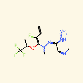 C=C/C(F)=C(/O[C@H](C)C(F)(F)F)N(C)/N=C(\C=N/C)NN